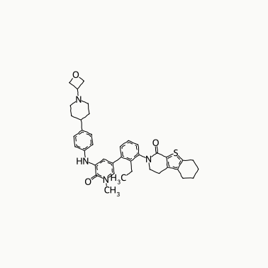 CCc1c(-c2cc(Nc3ccc(C4CCN(C5COC5)CC4)cc3)c(=O)n(C)c2)cccc1N1CCc2c(sc3c2CCCC3)C1=O